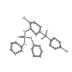 CC(C)(c1ccc(O)cc1)c1ccc(O)c(OP(=O)(Oc2ccccc2)Oc2ccccc2)c1